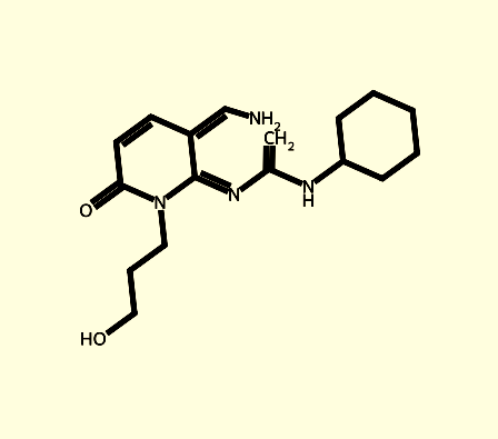 C=C(/N=C1\C(=C/N)C=CC(=O)N1CCCO)NC1CCCCC1